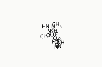 CN1CC(N/C(=C\C=N)c2cc(Cl)ccc2Oc2cc(F)c(S(=O)(=O)Nc3ncns3)cc2F)C1